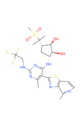 Cc1nc(NCC(F)(F)F)nc(N[C@@H]2C[C@H](C(C)(C)S(C)(=O)=O)[C@@H](O)[C@H]2O)c1-c1nc2c(C)nccc2s1